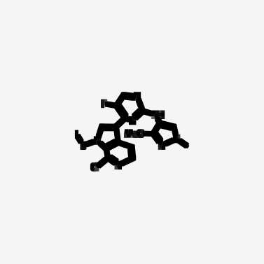 COc1nn(C)cc1Nc1ncc(F)c(-c2cn(SI)c3c(Cl)nccc23)n1